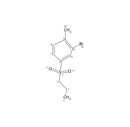 CCCS(=O)(=O)c1ccc(C)c(Br)c1